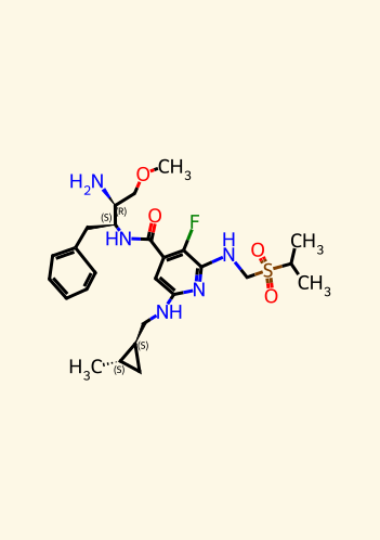 COC[C@H](N)[C@H](Cc1ccccc1)NC(=O)c1cc(NC[C@H]2C[C@@H]2C)nc(NCS(=O)(=O)C(C)C)c1F